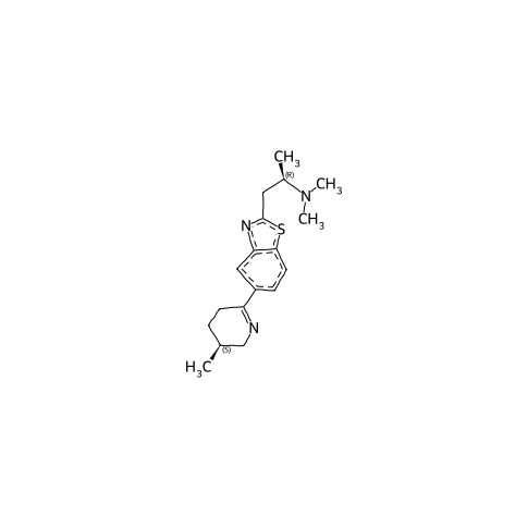 C[C@H]1CCC(c2ccc3sc(C[C@@H](C)N(C)C)nc3c2)=NC1